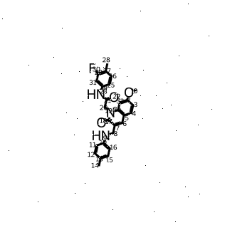 COc1ccc2cc(CNc3ccc(C)cc3)c(=O)n(CC(=O)Nc3ccc(C)c(F)c3)c2c1